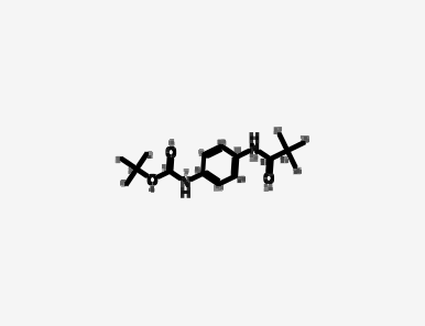 CC(C)(C)OC(=O)Nc1ccc(NC(=O)C(C)(C)C)cc1